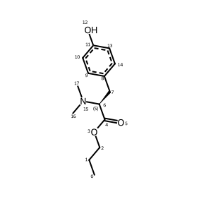 CCCOC(=O)[C@H](Cc1ccc(O)cc1)N(C)C